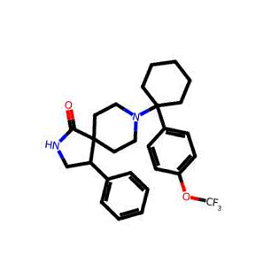 O=C1NCC(c2ccccc2)C12CCN(C1(c3ccc(OC(F)(F)F)cc3)CCCCC1)CC2